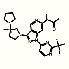 CC(=O)Nc1cc2c(cn1)c(N1CC[C@](C)(N3CCCC3)C1)nn2-c1ccnc(C(C)(F)F)n1